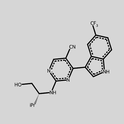 CC(C)[C@H](CO)Nc1ncc(C#N)c(-c2c[nH]c3ccc(C(F)(F)F)cc23)n1